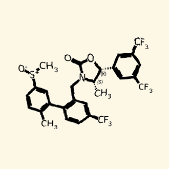 Cc1ccc([S+](C)[O-])cc1-c1ccc(C(F)(F)F)cc1CN1C(=O)O[C@H](c2cc(C(F)(F)F)cc(C(F)(F)F)c2)[C@@H]1C